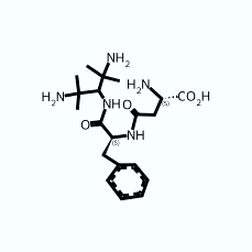 CC(C)(N)C(NC(=O)[C@H](Cc1ccccc1)NC(=O)C[C@H](N)C(=O)O)C(C)(C)N